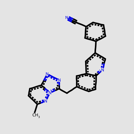 Cc1ccc2nnc(Cc3ccc4ncc(-c5cccc(C#N)c5)cc4c3)n2n1